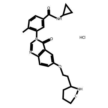 Cc1ccc(C(=O)NC2CC2)cc1-n1cnc2ccc(OCCC3CCCCN3)cc2c1=O.Cl